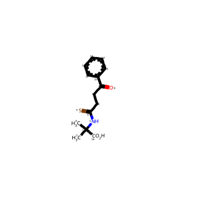 CC(C)(NC(=S)CCC(=O)c1ccccc1)C(=O)O